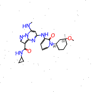 CNc1cc(Nc2cccn([C@@H]3CCC[C@](C)(OC)C3)c2=O)nc2c(C(=O)NC3CC3)cnn12